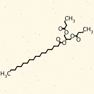 CCCCCCCCCCCCCCCCCC(=O)OC(COC(=O)CCC)COC(=O)CCC